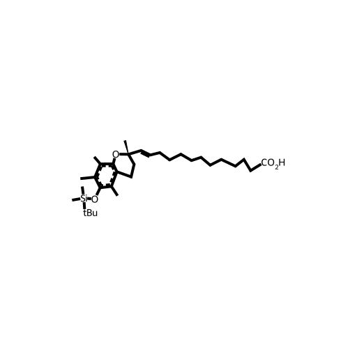 Cc1c(C)c2c(c(C)c1O[Si](C)(C)C(C)(C)C)CC[C@@](C)(C=CCCCCCCCCCCC(=O)O)O2